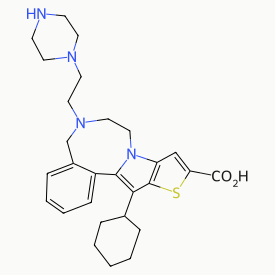 O=C(O)c1cc2c(s1)c(C1CCCCC1)c1n2CCN(CCN2CCNCC2)Cc2ccccc2-1